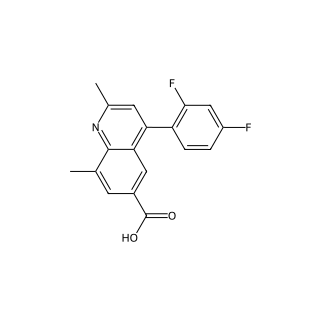 Cc1cc(-c2ccc(F)cc2F)c2cc(C(=O)O)cc(C)c2n1